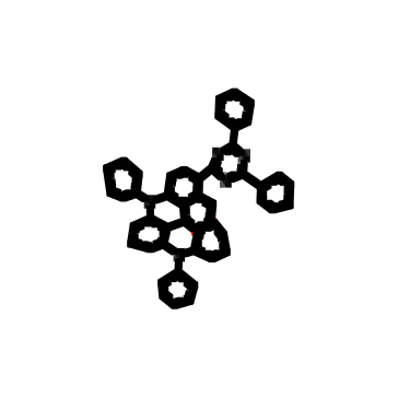 c1ccc(-c2nc(-c3ccccc3)nc(-c3ccc4c5c(cccc35)-c3c(N(c5ccccc5)c5ccccc5)cccc3N4c3ccccc3)n2)cc1